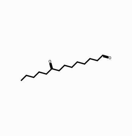 CCCCCC(=O)CCCCCCCC=O